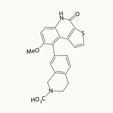 COc1ccc2[nH]c(=O)c3sccc3c2c1-c1ccc2c(c1)CN(C(=O)O)CC2